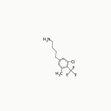 Cc1cc(CCCCN)cc(Cl)c1C(F)(F)F